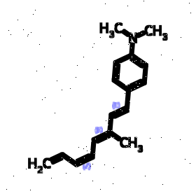 C=C\C=C/C=C(C)/C=C/c1ccc(N(C)C)cc1